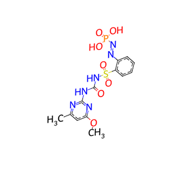 COc1cc(C)nc(NC(=O)NS(=O)(=O)c2ccccc2N=NP(=O)(O)O)n1